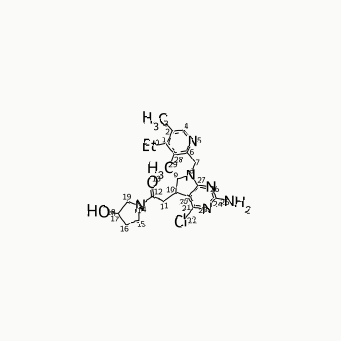 CCc1c(C)cnc(CN2CC(CC(=O)N3CCC(O)C3)c3c(Cl)nc(N)nc32)c1C